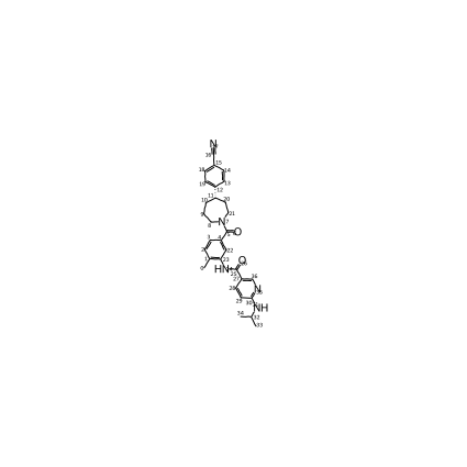 Cc1ccc(C(=O)N2CCC[C@H](c3ccc(C#N)cc3)CC2)cc1NC(=O)c1ccc(NC(C)C)nc1